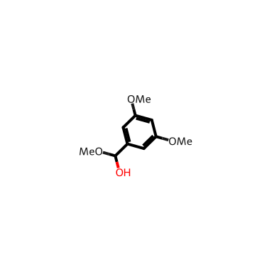 COc1cc(OC)cc(C(O)OC)c1